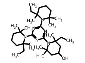 CCC1(C)CCCC(C)(C)N1c1nc(N2C(C)(C)CCCC2(C)CC)nc(N2C(C)(C)CC(O)CC2(C)CC)n1